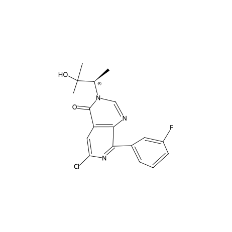 C[C@@H](n1cnc2c(-c3cccc(F)c3)nc(Cl)cc2c1=O)C(C)(C)O